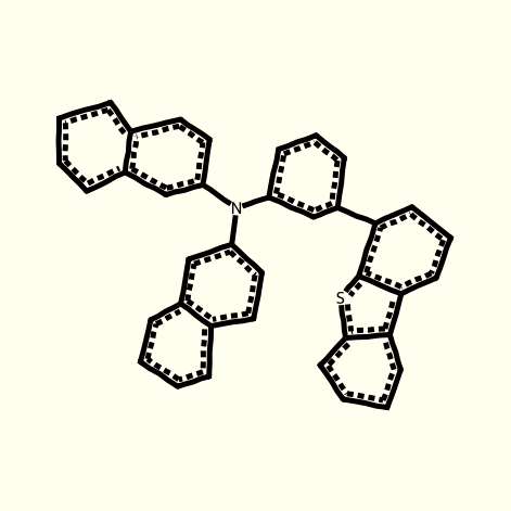 c1cc(-c2cccc3c2sc2ccccc23)cc(N(c2ccc3ccccc3c2)c2ccc3ccccc3c2)c1